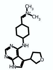 C[N+](C)=CC1CCC(Nc2ncnc3[nH]cc(C4CCOC4)c23)CC1